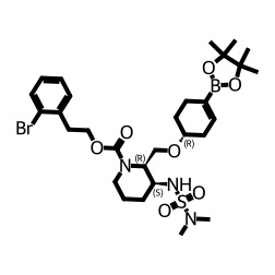 CN(C)S(=O)(=O)N[C@H]1CCCN(C(=O)OCCc2ccccc2Br)[C@H]1CO[C@H]1CC=C(B2OC(C)(C)C(C)(C)O2)CC1